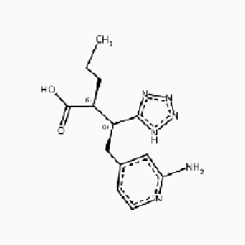 CCC[C@H](C(=O)O)[C@H](Cc1ccnc(N)c1)c1nnn[nH]1